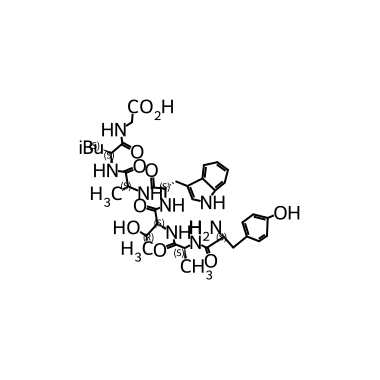 CC[C@H](C)[C@H](NC(=O)[C@H](C)NC(=O)[C@H](Cc1c[nH]c2ccccc12)NC(=O)[C@@H](NC(=O)[C@H](C)NC(=O)[C@@H](N)Cc1ccc(O)cc1)[C@@H](C)O)C(=O)NCC(=O)O